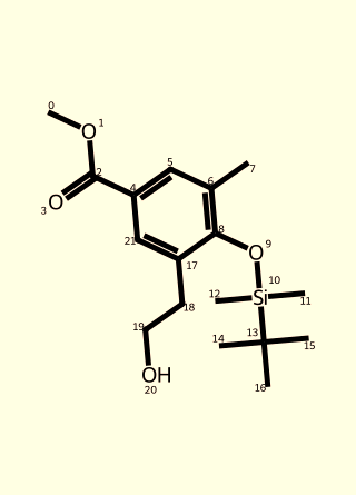 COC(=O)c1cc(C)c(O[Si](C)(C)C(C)(C)C)c(CCO)c1